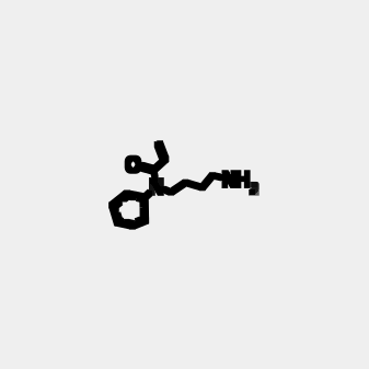 C=CC(=O)N(CCCCN)c1ccccc1